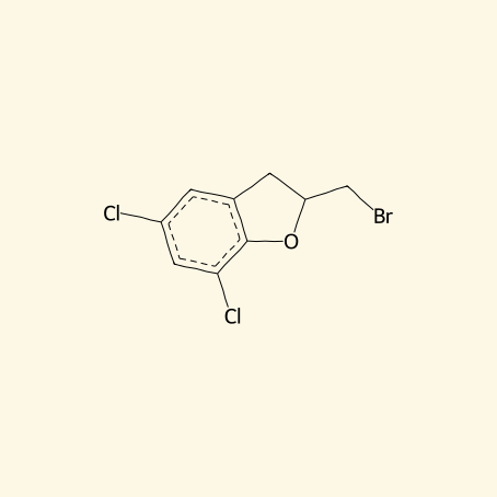 Clc1cc(Cl)c2c(c1)CC(CBr)O2